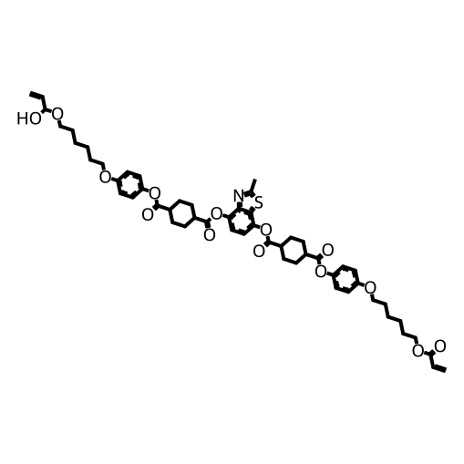 C=CC(=O)OCCCCCCOc1ccc(OC(=O)C2CCC(C(=O)Oc3ccc(OC(=O)C4CCC(C(=O)Oc5ccc(OCCCCCCOC(O)C=C)cc5)CC4)c4nc(C)sc34)CC2)cc1